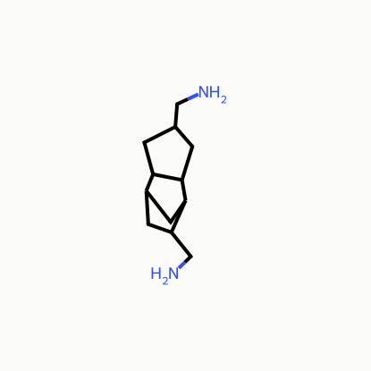 NCC1CC2C3CC(CN)C(C3)C2C1